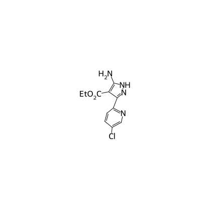 CCOC(=O)c1c(-c2ccc(Cl)cn2)n[nH]c1N